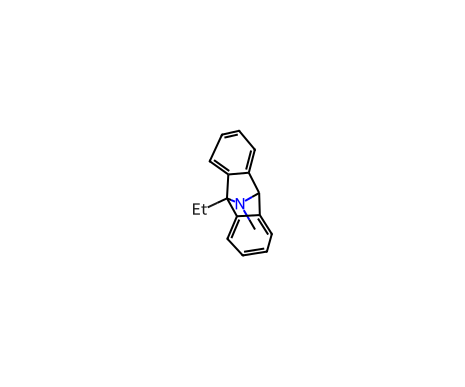 CCC12c3ccccc3C(c3ccccc31)N2C